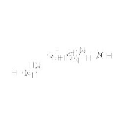 CN(C)CC=CC(=O)NCCCCCC(=O)Nc1cccc(CCC(=O)Nc2cncc(Nc3ccc(-c4ccc(C(=O)N(C)C)cc4)cn3)c2)c1